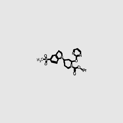 CC(C)OC(=O)N1CCC(N2CCc3cc(S(C)(=O)=O)ccc32)CC1Oc1ncccn1